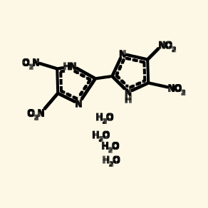 O.O.O.O.O=[N+]([O-])c1nc(-c2nc([N+](=O)[O-])c([N+](=O)[O-])[nH]2)[nH]c1[N+](=O)[O-]